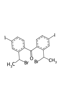 CC(Br)c1cc(I)ccc1C(=O)c1ccc(I)cc1C(C)Br